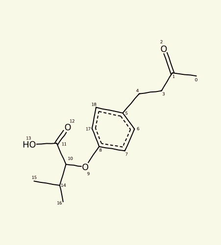 CC(=O)CCc1ccc(OC(C(=O)O)C(C)C)cc1